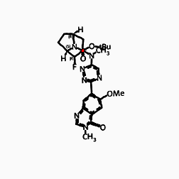 COc1cc2c(=O)n(C)cnc2cc1-c1ncc(N(C)[C@@H]2C[C@H]3CC[C@@H]([C@@H]2F)N3C(=O)OC(C)(C)C)nn1